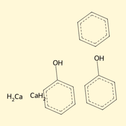 Oc1ccccc1.Oc1ccccc1.[CaH2].[CaH2].c1ccccc1